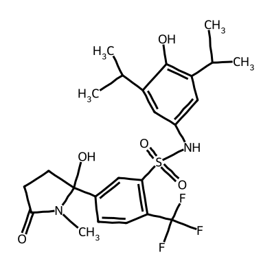 CC(C)c1cc(NS(=O)(=O)c2cc(C3(O)CCC(=O)N3C)ccc2C(F)(F)F)cc(C(C)C)c1O